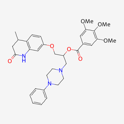 COc1cc(C(=O)OC(COc2ccc3c(c2)NC(=O)CC3C)CN2CCN(c3ccccc3)CC2)cc(OC)c1OC